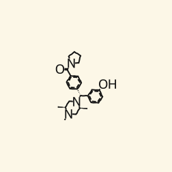 C[C@H]1CN([C@H](c2ccc(C(=O)N3CCCC3)cc2)c2cccc(O)c2)[C@@H](C)CN1C